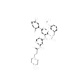 COc1cccc(CN(C)c2nnc(-c3cc(Cl)ccc3F)cc2Nc2ccnc(NC(=O)CCN3CCN(C)CC3)c2)c1